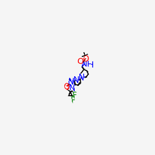 Cn1c(=O)n(CC2(C)CC2(F)F)c2ccc(N3CCCC(CNC(=O)OC(C)(C)C)C3)nc21